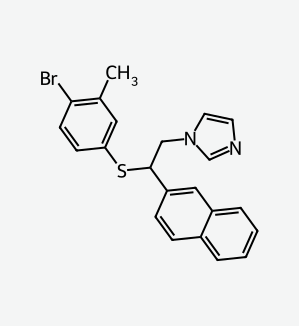 Cc1cc(SC(Cn2ccnc2)c2ccc3ccccc3c2)ccc1Br